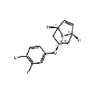 CN1[C@@H]2C=C[C@H]1C[C@H](Oc1ccc(Cl)c(F)c1)C2